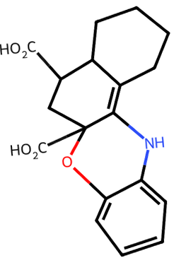 O=C(O)C1CC2(C(=O)O)Oc3ccccc3NC2=C2CCCCC21